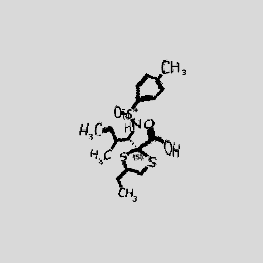 CCC1CS[C@@](C(=O)O)(C(N[S@@+]([O-])c2ccc(C)cc2)C(C)CC)S1